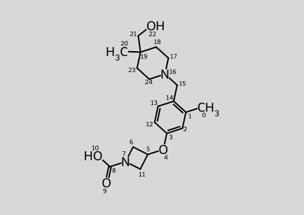 Cc1cc(OC2CN(C(=O)O)C2)ccc1CN1CCC(C)(CO)CC1